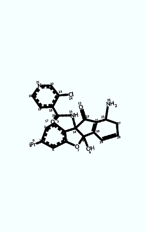 CC(C)c1ccc2c(c1)OC1(O)C3=C(C(=O)C21NC(=O)c1ccncc1Cl)C(N)CC=C3